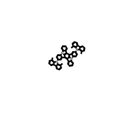 Cc1cccc2c3cccc(C)c3n(-c3ccc4c(c3)c3c5c6ccccc6n6c7ccc(-n8c9c(C)cccc9c9cccc(C)c98)cc7c(c7c8ccccc8n4c73)c56)c12